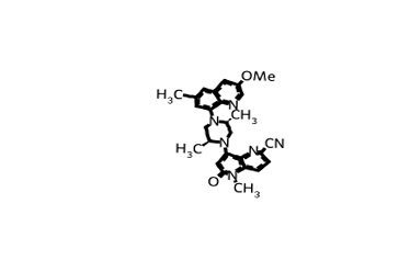 COc1cnc2c(N3C[C@H](C)N(c4cc(=O)n(C)c5ccc(C#N)nc45)C[C@H]3C)cc(C)cc2c1